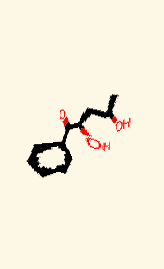 CC(O)CC(O)C(=O)c1ccccc1